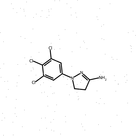 NC1=NN(c2cc(Cl)c(Cl)c(Cl)c2)CC1